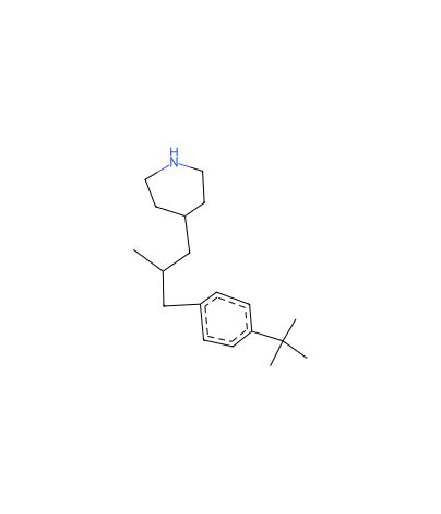 CC(Cc1ccc(C(C)(C)C)cc1)CC1CCNCC1